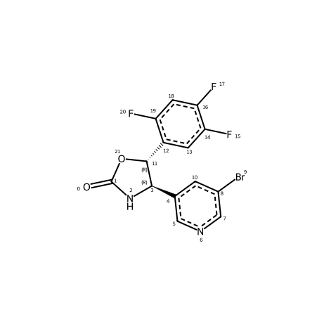 O=C1N[C@H](c2cncc(Br)c2)[C@@H](c2cc(F)c(F)cc2F)O1